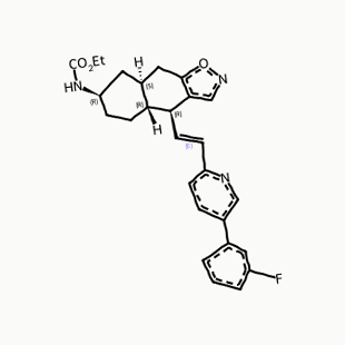 CCOC(=O)N[C@@H]1CC[C@@H]2[C@H](Cc3oncc3[C@H]2/C=C/c2ccc(-c3cccc(F)c3)cn2)C1